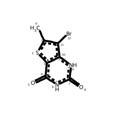 Cc1sc2c(=O)[nH]c(=O)[nH]c2c1Br